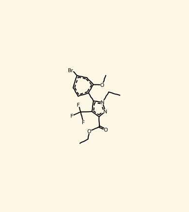 CCOC(=O)c1nn(CC)c(-c2ccc(Br)cc2OC)c1C(F)(F)F